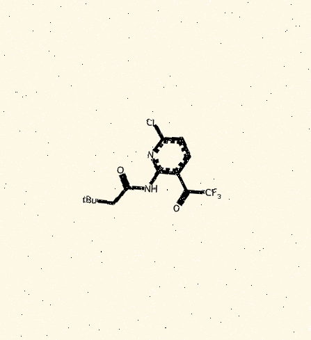 CC(C)(C)CC(=O)Nc1nc(Cl)ccc1C(=O)C(F)(F)F